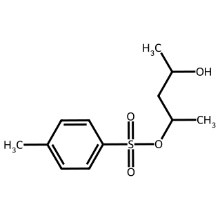 Cc1ccc(S(=O)(=O)OC(C)CC(C)O)cc1